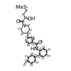 CSCCC(O)C(=O)N1CCC(c2nc(C(=O)Nc3ccccc3-c3ccc(C)cc3)cs2)CC1